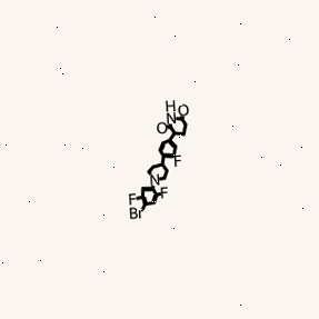 O=C1CCC(c2ccc(C3CCN(c4cc(F)c(Br)cc4F)CC3)c(F)c2)C(=O)N1